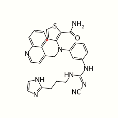 N#CN=C(NCCCc1ncc[nH]1)Nc1cccc(N(Cc2ccnc3ccccc23)c2ccsc2C(N)=O)c1